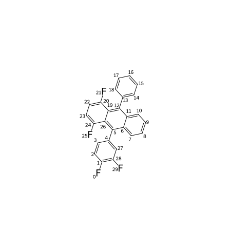 Fc1ccc(-c2c3ccccc3c(-c3ccccc3)c3c(F)ccc(F)c23)cc1F